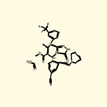 COC(=O)C1=C(C)N(c2cccc(C(F)(F)F)c2)c2n[nH]c(=O)n2[C@@H]1c1ccc(C#N)cc1CCN1CCCCC1.O=CO